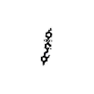 N#Cc1ccc(S(=O)(=O)c2ccc(/C=C/c3ccc(F)cc3F)nc2)cc1